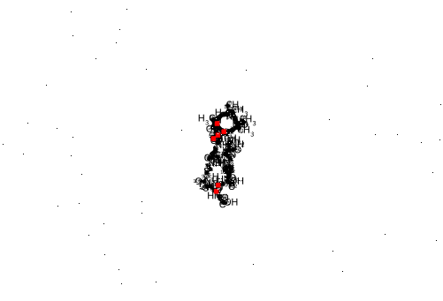 CC[C@@H]1/C2=C/c3[nH]c4c(c3C)C(=O)C(C(=O)OC)C4C3N=C(/C=c4\[nH]/c(c(C(C)=O)c4C)=C\C(=N2)[C@H]1C)[C@H](C)[C@H]3CCC(=O)NCCCC(C(=O)NCCSSC[C@H](NC(=O)[C@H](CC(=O)NCCS(=O)(=O)O)NC(=O)CC[C@H](NC(=O)c1ccc(NCc2cnc3nc(N)[nH]c(=O)c3n2)cc1)C(=O)O)C(=O)O)[N+](C)(C)C